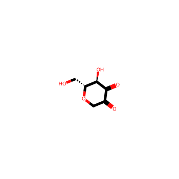 O=C1CO[C@H](CO)[C@@H](O)C1=O